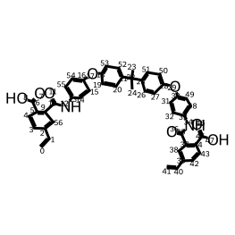 C=Cc1ccc(C(=O)O)c(C(=O)Nc2ccc(Oc3ccc(C(C)(C)c4ccc(Oc5ccc(NC(=O)c6cc(C=C)ccc6C(=O)O)cc5)cc4)cc3)cc2)c1